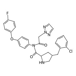 O=C(Cn1nccn1)N(C(=O)C1CC(Cc2ccccc2Cl)CN1)c1ccc(Oc2ccc(F)cc2)cc1